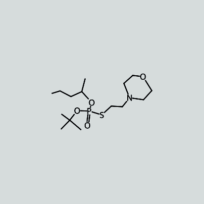 CCCC(C)OP(=O)(OC(C)(C)C)SCCN1CCOCC1